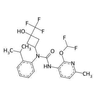 Cc1ccc(NC(=O)N(c2ccccc2C(C)C)C2CC(O)(C(F)(F)F)C2)c(OC(F)F)n1